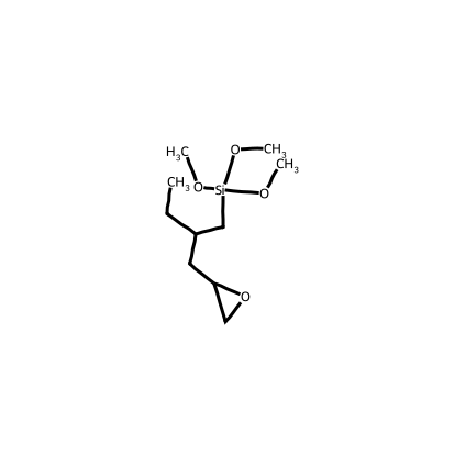 CCC(CC1CO1)C[Si](OC)(OC)OC